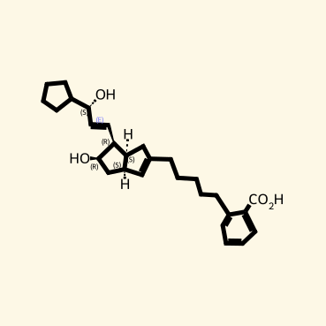 O=C(O)c1ccccc1CCCCCC1=C[C@H]2C[C@@H](O)[C@@H](/C=C/[C@@H](O)C3CCCC3)[C@H]2C1